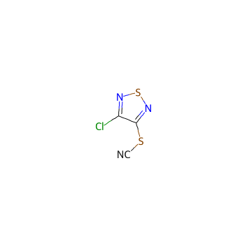 N#CSc1nsnc1Cl